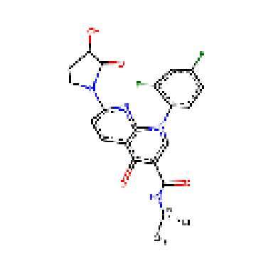 CC[C@@H](NC(=O)c1cn(-c2ccc(F)cc2F)c2nc(N3CCC(O)C3=O)ccc2c1=O)C(F)(F)F